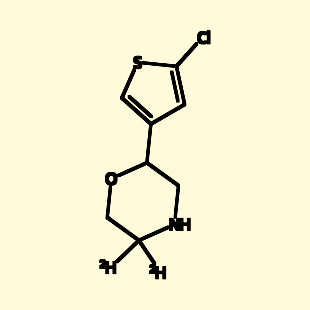 [2H]C1([2H])COC(c2csc(Cl)c2)CN1